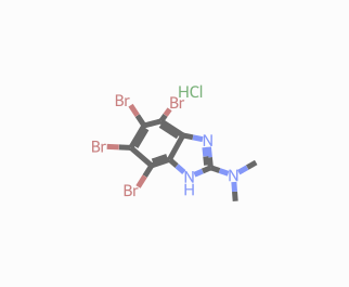 CN(C)c1nc2c(Br)c(Br)c(Br)c(Br)c2[nH]1.Cl